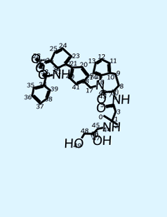 CC(C)(CC(=O)N[C@@H]1CCc2ccccc2N(Cc2ccc(C3=CC=CC(=S(=O)=O)C3NC(=O)c3ccccc3)cc2)C1=O)NC[C@H](O)CO